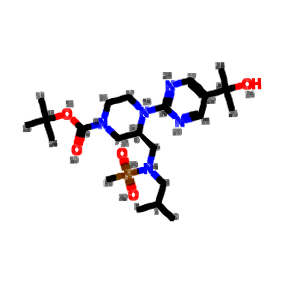 CC(C)CN(C[C@H]1CN(C(=O)OC(C)(C)C)CCN1c1ncc(C(C)(C)O)cn1)S(C)(=O)=O